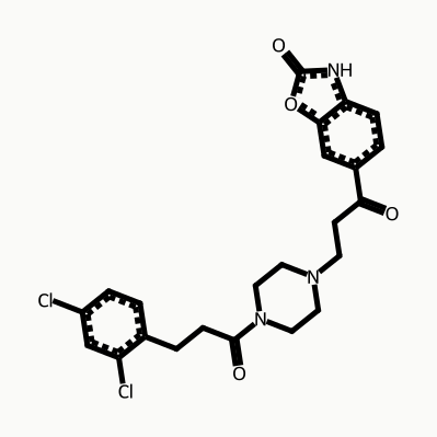 O=C(CCN1CCN(C(=O)CCc2ccc(Cl)cc2Cl)CC1)c1ccc2[nH]c(=O)oc2c1